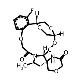 C[C@@H]1C[C@]2(COCC(=O)N2)[C@H]2CO[C@H]3CC[C@H](CC3)c3c(F)cccc3OCC(=O)N12